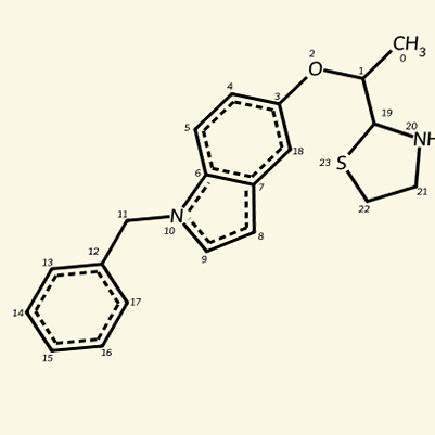 CC(Oc1ccc2c(ccn2Cc2ccccc2)c1)C1NCCS1